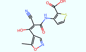 Cc1oncc1C(O)=C(C#N)C(=O)Nc1ccsc1C(=O)O